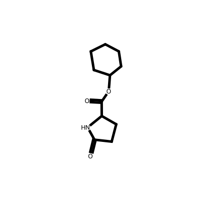 O=C1CCC(C(=O)OC2CCCCC2)N1